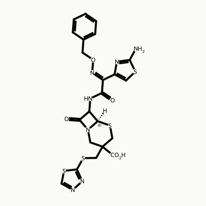 Nc1nc(C(=NOCc2ccccc2)C(=O)NC2C(=O)N3CC(CSc4nncs4)(C(=O)O)CS[C@H]23)cs1